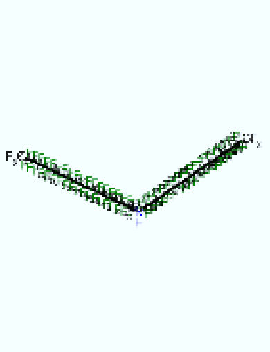 FC(F)(F)C(F)(F)C(F)(F)C(F)(F)C(F)(F)C(F)(F)C(F)(F)C(F)(F)C(F)(F)C(F)(F)C(F)(F)C(F)(F)C(F)(F)C(F)(F)C(F)(F)C(F)(F)C(F)(F)C(F)(F)C(F)(F)C(F)(F)NC(F)(F)C(F)(F)C(F)(F)C(F)(F)C(F)(F)C(F)(F)C(F)(F)C(F)(F)C(F)(F)C(F)(F)C(F)(F)C(F)(F)C(F)(F)C(F)(F)C(F)(F)C(F)(F)C(F)(F)C(F)(F)C(F)(F)C(F)(F)F